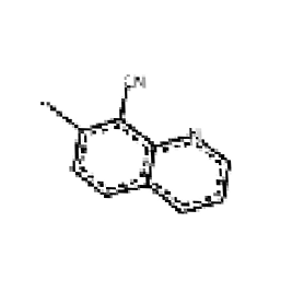 [CH2]c1ccc2cccnc2c1C#N